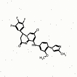 COc1cc(NC2=CC(Cl)=CN3C2=NC(=O)CC3c2cc(F)c(F)c(F)c2)ccc1-n1cnc(C)c1